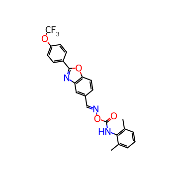 Cc1cccc(C)c1NC(=O)O/N=C/c1ccc2oc(-c3ccc(OC(F)(F)F)cc3)nc2c1